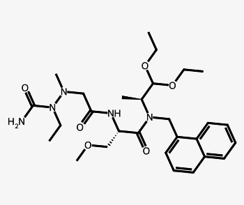 CCOC(OCC)[C@H](C)N(Cc1cccc2ccccc12)C(=O)[C@H](COC)NC(=O)CN(C)N(CC)C(N)=O